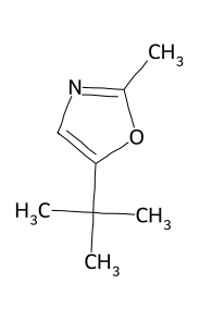 Cc1ncc(C(C)(C)C)o1